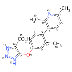 Cc1ccc(-c2ccc(Oc3[nH]nnc3C(=O)O)cc2C)c(C)n1